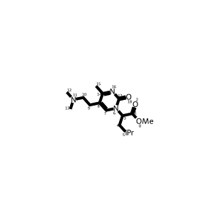 COC(=O)C(CC(C)C)n1cc(CCN(C)C)c(C)nc1=O